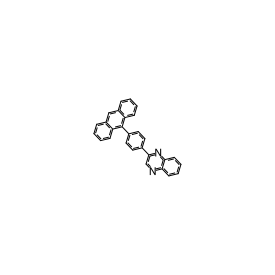 c1ccc2c(-c3ccc(-c4cnc5ccccc5n4)cc3)c3ccccc3cc2c1